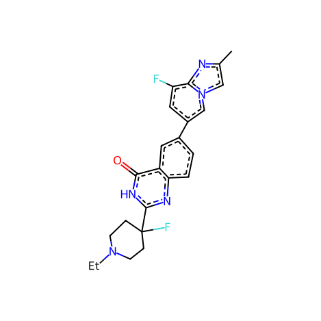 CCN1CCC(F)(c2nc3ccc(-c4cc(F)c5nc(C)cn5c4)cc3c(=O)[nH]2)CC1